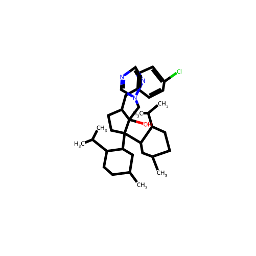 CC1CCC(C(C)C)C(C2(C3CC(C)CCC3C(C)C)CCC(Cc3ccc(Cl)cc3)C2(O)Cn2cncn2)C1